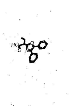 CCC(C(=O)O)c1nc(-c2ccccc2)c(-c2ccccc2)o1